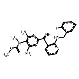 COC(=O)N(C)c1c(N)nc(C(=N)c2cccnc2NCc2ccccc2F)nc1N